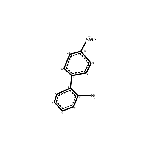 [C-]#[N+]c1ccccc1-c1ccc(SC)cc1